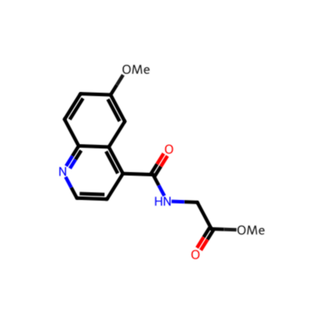 COC(=O)CNC(=O)c1ccnc2ccc(OC)cc12